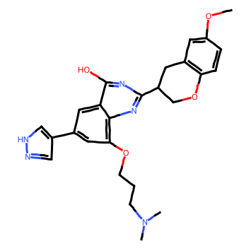 COc1ccc2c(c1)CC(c1nc(O)c3cc(-c4cn[nH]c4)cc(OCCCN(C)C)c3n1)CO2